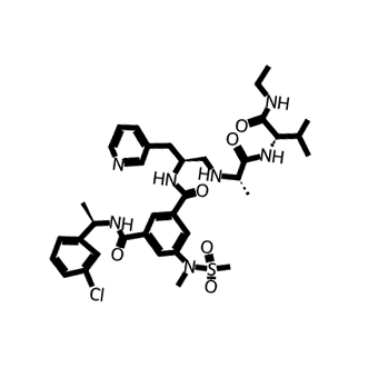 CCNC(=O)[C@@H](NC(=O)[C@H](C)NC[C@H](Cc1cccnc1)NC(=O)c1cc(C(=O)N[C@H](C)c2cccc(Cl)c2)cc(N(C)S(C)(=O)=O)c1)C(C)C